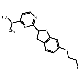 CN(C)c1ccnc(C2Cc3ccc(OCCF)cc3S2)n1